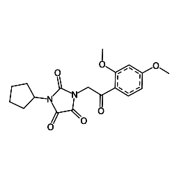 COc1ccc(C(=O)CN2C(=O)C(=O)N(C3CCCC3)C2=O)c(OC)c1